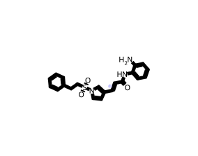 Nc1ccccc1NC(=O)/C=C/c1ccn(S(=O)(=O)CCc2ccccc2)c1